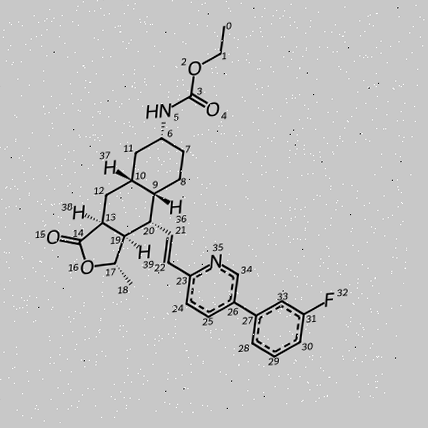 CCOC(=O)N[C@@H]1CC[C@H]2[C@@H](C1)C[C@@H]1C(=O)O[C@@H](C)[C@@H]1[C@H]2/C=C/c1ccc(-c2cccc(F)c2)cn1